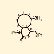 BC1CCCCCC2C(C1)C(CC(C)C)CC(=S)N2C(C)C